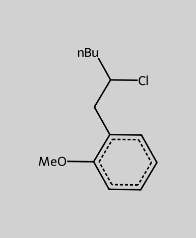 CCCCC(Cl)Cc1ccccc1OC